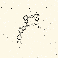 CC(C)Sc1cnn(C2(CC#N)CN(c3cccn4nc(NC5=CN(CC(=O)N6CCN(C)CC6)NC5)nc34)C2)c1